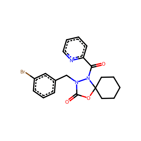 O=C1OC2(CCCCC2)N(C(=O)c2ccccn2)N1Cc1cccc(Br)c1